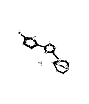 Brc1ccc(-c2nnc(N3CCN4CCC3CC4)o2)s1.Cl